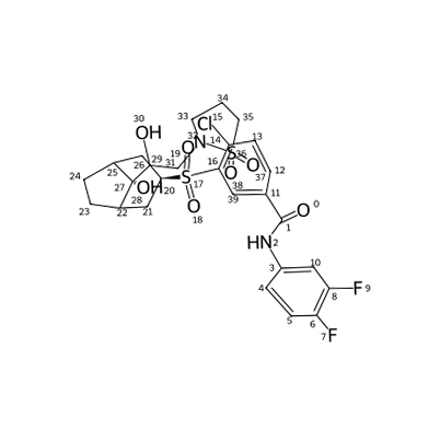 O=C(Nc1ccc(F)c(F)c1)c1ccc(Cl)c(S(=O)(=O)[C@H]2CC3CCC(C2)[C@@]3(O)C(O)CN2CCCS2(=O)=O)c1